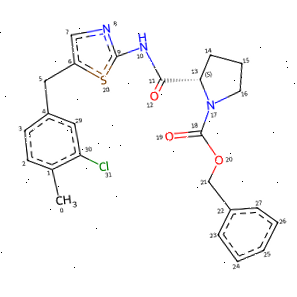 Cc1ccc(Cc2cnc(NC(=O)[C@@H]3CCCN3C(=O)OCc3ccccc3)s2)cc1Cl